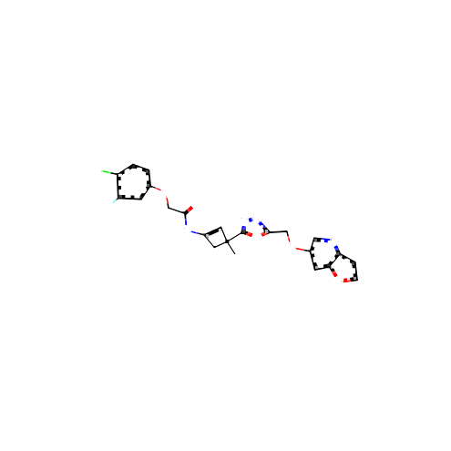 CC1(c2nnc(COc3cnc4ccoc4c3)o2)C=C(NC(=O)COc2ccc(Cl)c(F)c2)C1